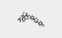 CCc1nc2c(C(F)(F)F)cccn2c1C(=O)NCc1ccc(N2CCN(c3ccc(Cl)cc3)CC2)cc1